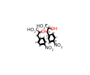 O=C(O)C(O)Cc1ccc([N+](=O)[O-])cc1.O=C(O)C(O)Cc1ccc([N+](=O)[O-])cc1